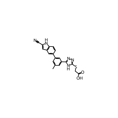 Cc1cc(-c2ccc3[nH]c(C#N)cc3c2)cc(-c2nnc(SCC(=O)O)[nH]2)c1